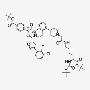 CC(C)(C)OC(=O)NC(CCCCNC(=O)CN1CC=C(c2cccc3c2CCN(C(=O)C2CC(c4cccc(Cl)c4F)=NO2)[C@@H]3C(=O)Nc2ccc(C(=O)OC(C)(C)C)cc2)CC1)C(=O)OC(C)(C)C